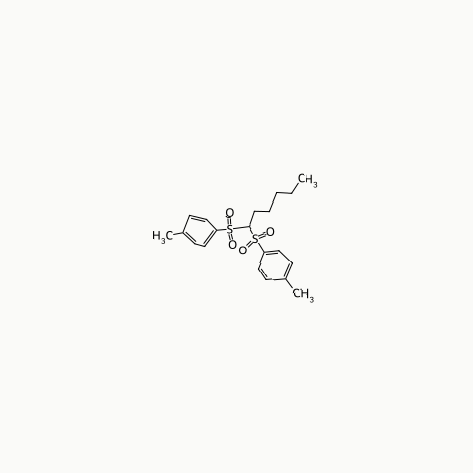 CCCCCC(S(=O)(=O)c1ccc(C)cc1)S(=O)(=O)c1ccc(C)cc1